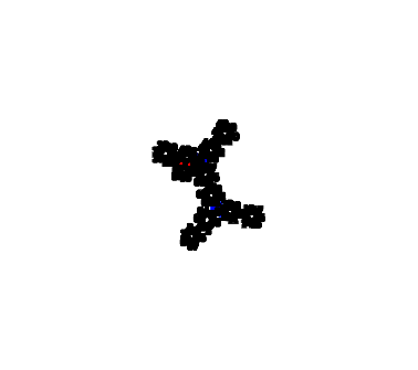 c1ccc(-c2ccc(N(c3ccc(-c4ccccc4)cc3)c3ccc(-c4ccc(N(c5ccc(-c6ccccc6)cc5)c5ccc(-c6ccccc6)cc5)c(-c5ccccc5)c4)cc3)cc2)cc1